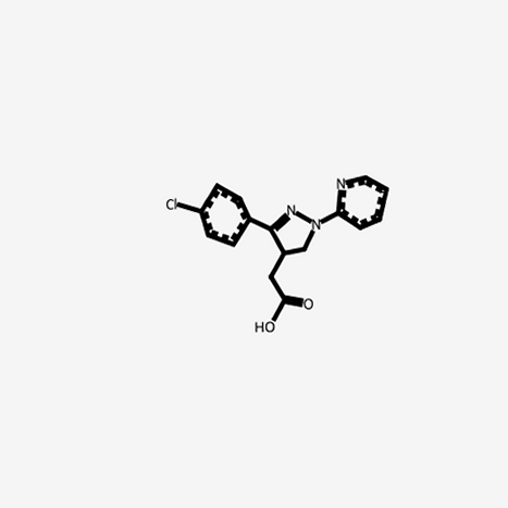 O=C(O)CC1CN(c2ccccn2)N=C1c1ccc(Cl)cc1